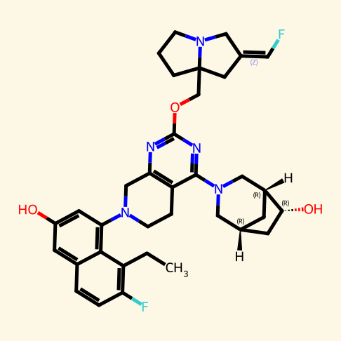 CCc1c(F)ccc2cc(O)cc(N3CCc4c(nc(OCC56CCCN5C/C(=C\F)C6)nc4N4C[C@@H]5C[C@H](C4)[C@H](O)C5)C3)c12